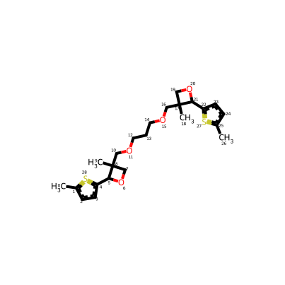 Cc1ccc(C2OCC2(C)COCCCOCC2(C)COC2c2ccc(C)s2)s1